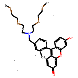 CCSCCSCCN(CCSCCSCC)Cc1ccc(-c2c3ccc(=O)cc-3oc3cc(O)ccc23)c(C)c1